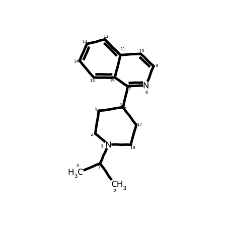 CC(C)N1C[CH][C](c2nccc3ccccc23)CC1